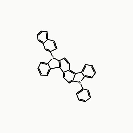 c1ccc(-n2c3ccccc3c3c4ccc5c(c4ccc32)c2ccccc2n5-c2ccc3ccccc3c2)cc1